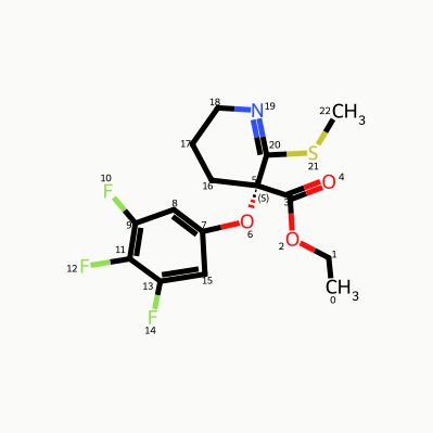 CCOC(=O)[C@@]1(Oc2cc(F)c(F)c(F)c2)CCCN=C1SC